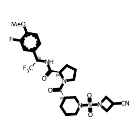 COc1ccc([C@H](NC(=O)[C@H]2CCCN2C(=O)[C@H]2CCCN(S(=O)(=O)N3CC(C#N)C3)C2)C(F)(F)F)cc1F